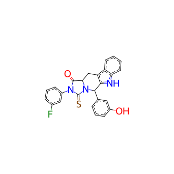 O=C1C2Cc3c([nH]c4ccccc34)C(c3cccc(O)c3)N2C(=S)N1c1cccc(F)c1